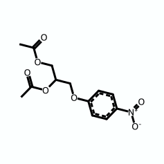 CC(=O)OCC(COc1ccc([N+](=O)[O-])cc1)OC(C)=O